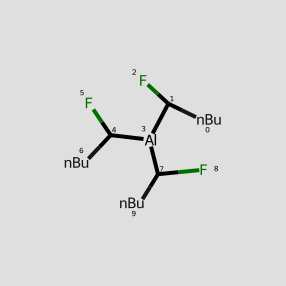 CCCC[CH](F)[Al]([CH](F)CCCC)[CH](F)CCCC